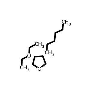 C1CCOC1.CCCCCC.CCOCC